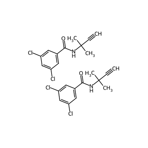 C#CC(C)(C)NC(=O)c1cc(Cl)cc(Cl)c1.C#CC(C)(C)NC(=O)c1cc(Cl)cc(Cl)c1